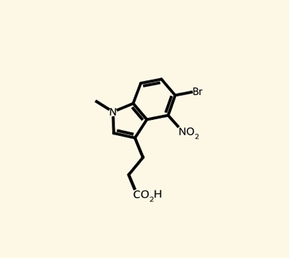 Cn1cc(CCC(=O)O)c2c([N+](=O)[O-])c(Br)ccc21